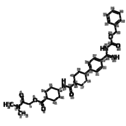 CN(C)C(=O)COC(=O)[C@H]1CC[C@H](NC(=O)N2CCC(c3ccc(C(=N)NC(=O)OCc4ccccc4)cc3)CC2)CC1